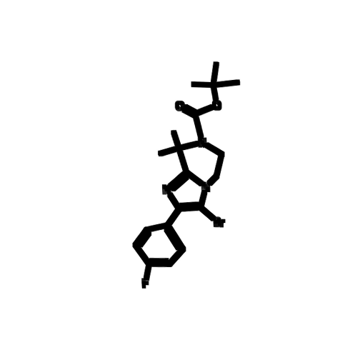 CC(C)(C)OC(=O)N1CCn2c(nc(-c3ccc(F)cc3)c2Br)C1(C)C